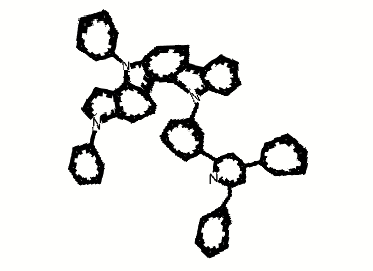 c1ccc(-c2cc(-c3ccccc3)nc(-c3cccc(-n4c5ccccc5c5ccc6c(c7ccc8c(ccn8-c8ccccc8)c7n6-c6ccccc6)c54)c3)c2)cc1